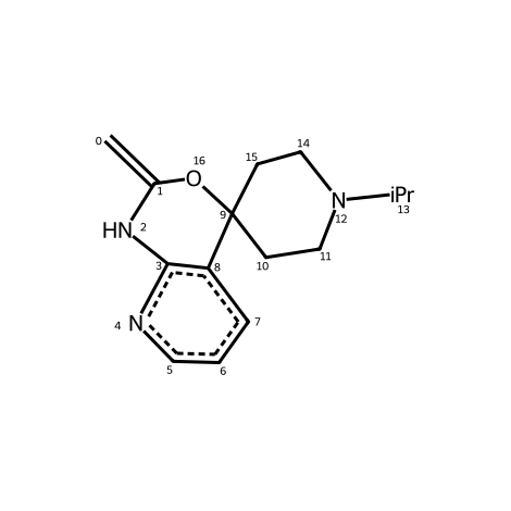 C=C1Nc2ncccc2C2(CCN(C(C)C)CC2)O1